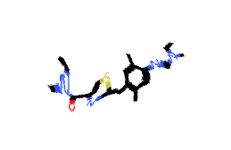 CCN(C)C=Nc1cc(C)c(Cc2nc(C(=O)N(C)CC)cs2)cc1C